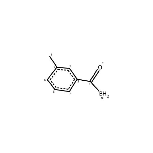 BC(=O)c1cccc(C)c1